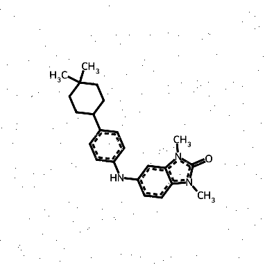 Cn1c(=O)n(C)c2cc(Nc3ccc(C4CCC(C)(C)CC4)cc3)ccc21